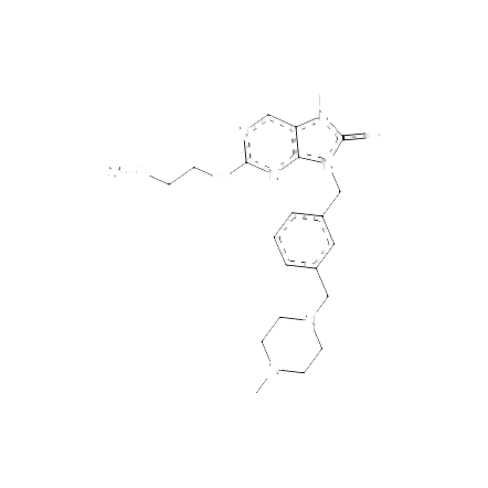 COCCOc1ncc2[nH]c(=O)n(Cc3cccc(CN4CCN(C)CC4)c3)c2n1